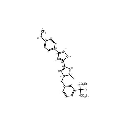 CCOC(=O)C(C)(C(=O)OCC)c1cccc(Cn2nc(-c3nc(-c4ccc(OC(F)(F)F)cc4)no3)cc2C)c1